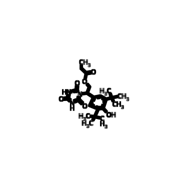 CCC(=O)OCC(c1cc(C(C)(C)C)c(O)c(C(C)(C)C)c1)n1c(=O)[nH]c(=O)[nH]c1=O